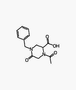 CC(=O)N1CC(=O)N(Cc2ccccc2)CC1C(=O)O